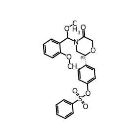 COc1ccccc1C(OC)N1C[C@@H](c2ccc(OS(=O)(=O)c3ccccc3)cc2)OCC1=O